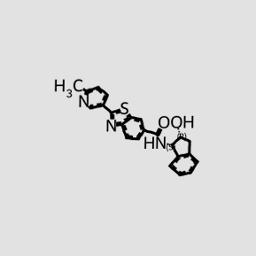 Cc1ccc(-c2nc3ccc(C(=O)N[C@H]4c5ccccc5C[C@H]4O)cc3s2)cn1